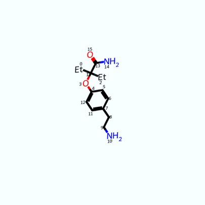 CCC(CC)(Oc1ccc(CCN)cc1)C(N)=O